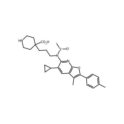 Cc1ccc(-c2oc3nc(N(CCCC4(C(=O)O)CCNCC4)[S+](C)[O-])c(C4CC4)cc3c2C)cc1